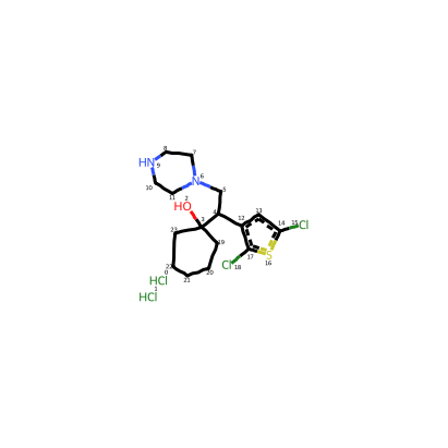 Cl.Cl.OC1(C(CN2CCNCC2)c2cc(Cl)sc2Cl)CCCCC1